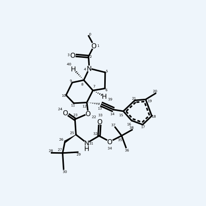 COC(=O)N1CC[C@@H]2[C@H]1CCC[C@]2(C#Cc1cccc(C)c1)OC(=O)[C@H](CC(C)(C)C)NC(=O)OC(C)(C)C